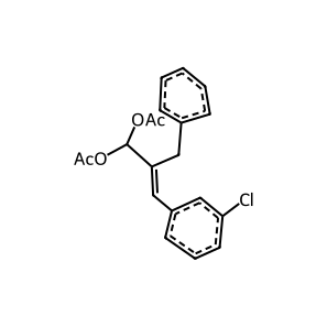 CC(=O)OC(OC(C)=O)/C(=C/c1cccc(Cl)c1)Cc1ccccc1